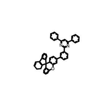 C1=CC2=C(CC1)C1(c3ccccc3Oc3cc(-c4cccc(-c5nc(-c6ccccc6)cc(-c6ccccc6)n5)c4)ccc31)c1ccccc12